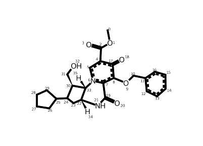 COC(=O)c1cn2c(c(OCc3ccccc3)c1=O)C(=O)N[C@@H]1CC(C3CCCC3)[C@@H](CO)[C@@H]12